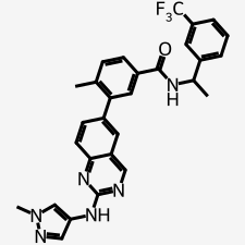 Cc1ccc(C(=O)NC(C)c2cccc(C(F)(F)F)c2)cc1-c1ccc2nc(Nc3cnn(C)c3)ncc2c1